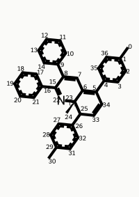 Cc1ccc(C2=C3C=C(c4ccccc4)C(c4ccccc4)=N[C@@]3(C)C(c3ccc(C)cc3)C=C2)cc1